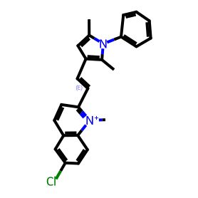 Cc1cc(/C=C/c2ccc3cc(Cl)ccc3[n+]2C)c(C)n1-c1ccccc1